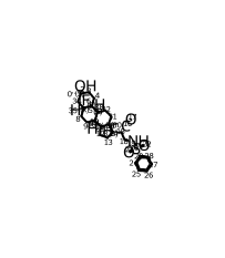 C[C@]1(O)CC[C@@]2(F)[C@H](CC[C@H]3[C@@H]4CC[C@H](C(=C=O)CNS(=O)(=O)c5ccccc5)[C@@]4(C)CC[C@@H]32)C1